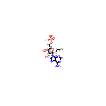 CC(C)CC[C@@]1(n2cnc3c(N)ncnc32)O[C@H](COP(=O)(O)O)[C@@H](O)[C@H]1O